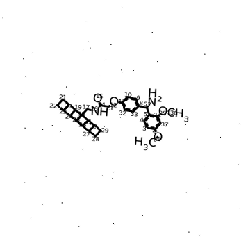 COc1ccc(C(N)c2ccc(OCC(=O)NCC34C5C6CCC6C5C3C3C5CCC5C34)cc2)c(OC)c1